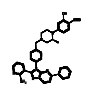 C[C@H]1CN(Cc2ccc(-n3c(-c4cccnc4N)nc4ccc(-c5ccccc5)nc43)cc2)CCN1c1ccc(C=O)c(O)c1